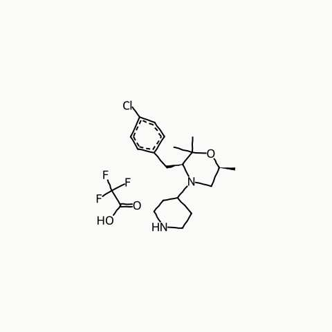 C[C@H]1CN(C2CCNCC2)[C@@H](Cc2ccc(Cl)cc2)C(C)(C)O1.O=C(O)C(F)(F)F